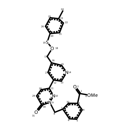 COC(=O)c1cccc(Cn2nc(-c3cncc(COSc4ccc(C)cc4)c3)ccc2=O)c1